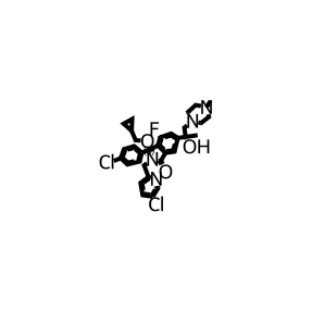 CN1CCN(CC(C)(O)c2cc(F)c3c(c2)C(=O)N(Cc2ccc(Cl)cn2)[C@@]3(OCC2CC2)c2ccc(Cl)cc2)CC1